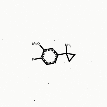 COc1cc(C2(N)CC2)ccc1F